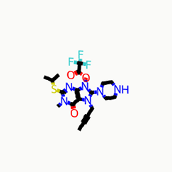 CC#CCN1c2c(nc(SC(C)C)n(C)c2=O)N(OC(=O)C(F)(F)F)C1N1CCNCC1